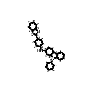 c1ccc(-n2c3ccccc3c3ccc(Nc4ccc(-c5nc6ccccc6o5)cc4)cc32)cc1